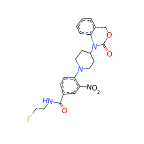 O=C(NCCF)c1ccc(N2CCC(N3C(=O)OCc4ccccc43)CC2)c([N+](=O)[O-])c1